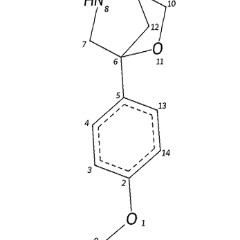 COc1ccc(C23CNC(CO2)C3)cc1